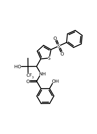 CC(O)(C(NC(=O)c1ccccc1O)c1ccc(S(=O)(=O)c2ccccc2)s1)C(F)(F)F